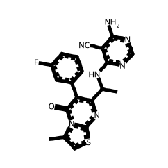 Cc1csc2nc(C(C)Nc3ncnc(N)c3C#N)c(-c3cccc(F)c3)c(=O)n12